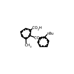 CCCCc1ccccc1.Cc1cccc(C(=O)O)c1C(=O)O